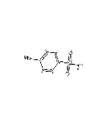 CC(C)S(=O)(=O)c1ccc([NH])cc1